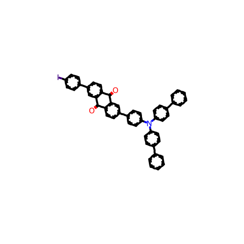 O=C1c2ccc(-c3ccc(N(c4ccc(-c5ccccc5)cc4)c4ccc(-c5ccccc5)cc4)cc3)cc2C(=O)c2ccc(-c3ccc(I)cc3)cc21